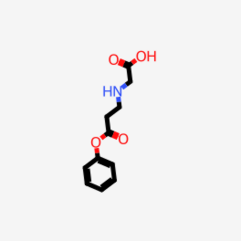 O=C(O)CNCCC(=O)Oc1ccccc1